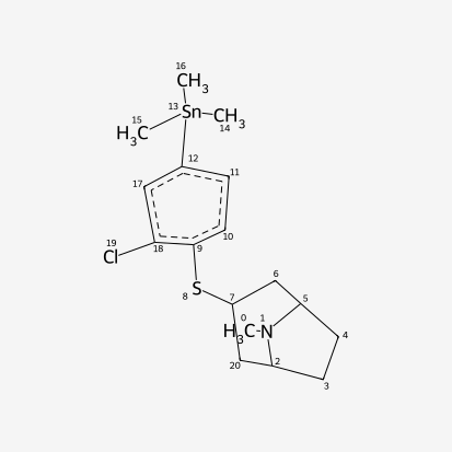 CN1C2CCC1CC(Sc1cc[c]([Sn]([CH3])([CH3])[CH3])cc1Cl)C2